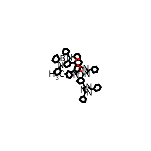 Cc1ccc2c(c1)c1ccccc1n2-c1ccc(-c2nc(-c3ccccc3)nc(-c3ccccc3)n2)cc1-c1nc(-c2ccccc2)nc(-c2cccc(-c3ccc4c5c3N(c3ccccc3)c3ccccc3B5c3ccccc3N4c3ccccc3)c2)n1